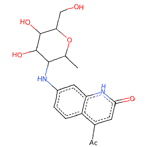 CC(=O)c1cc(=O)[nH]c2cc(NC3C(C)OC(CO)C(O)C3O)ccc12